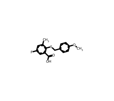 COc1ccc(CSc2c(C)cc(F)cc2C(=O)O)cc1